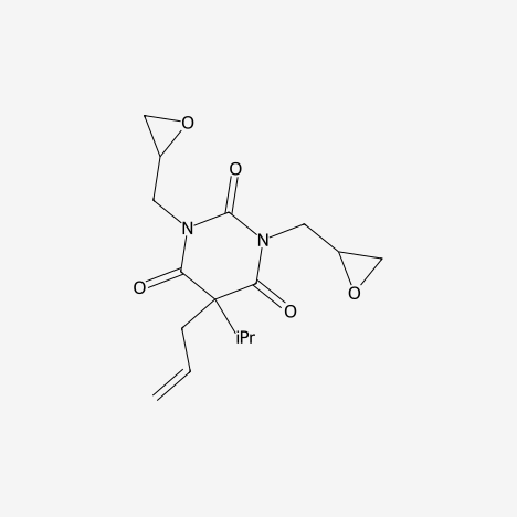 C=CCC1(C(C)C)C(=O)N(CC2CO2)C(=O)N(CC2CO2)C1=O